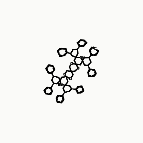 c1ccc([C@@H]2C[C@H](c3ccccc3)CC3(C2)CC2(CC4(C[C@H](c5ccccc5)C[C@H](c5ccccc5)C4)N3)OCC3(CO2)COC2(CC4(C[C@H](c5ccccc5)C[C@H](c5ccccc5)C4)NC4(C[C@H](c5ccccc5)C[C@H](c5ccccc5)C4)C2)OC3)cc1